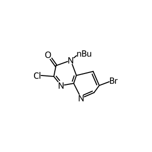 CCCCn1c(=O)c(Cl)nc2ncc(Br)cc21